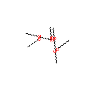 CCCCCCCCCOC(CCCCC=CC(OCCCCCCCC)OC(C=CCCCCC(OCCCCCCCCC)OCCCCCCCCC)OCCCCCCCC)OCCCCCCCCC